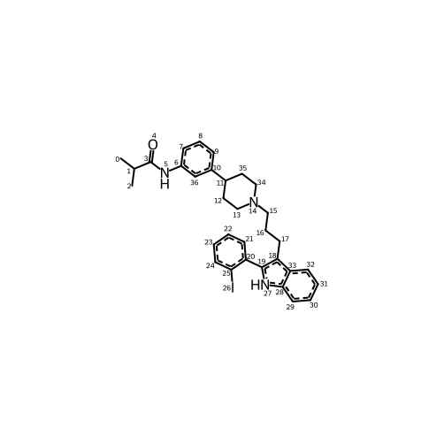 CC(C)C(=O)Nc1cccc(C2CCN(CCCc3c(-c4ccccc4I)[nH]c4ccccc34)CC2)c1